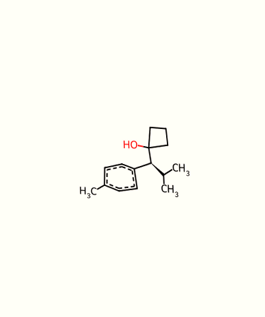 Cc1ccc([C@H](C(C)C)C2(O)CCC2)cc1